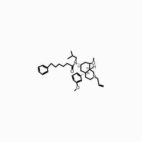 C=CCN1CC[C@@]2(c3cccc(OC)c3)C[C@H](N(CC(C)C)C(=O)CCCCCc3ccccc3)CC(OC)[C@@H]2C1